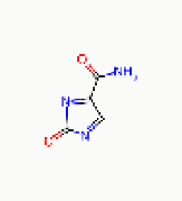 NC(=O)C1=NC(=O)N=C1